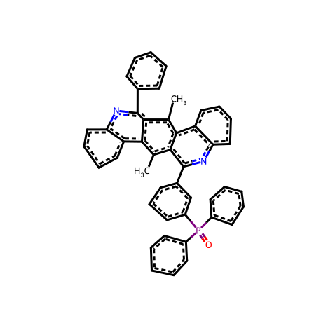 Cc1c2c(-c3cccc(P(=O)(c4ccccc4)c4ccccc4)c3)nc3ccccc3c2c(C)c2c(-c3ccccc3)nc3ccccc3c12